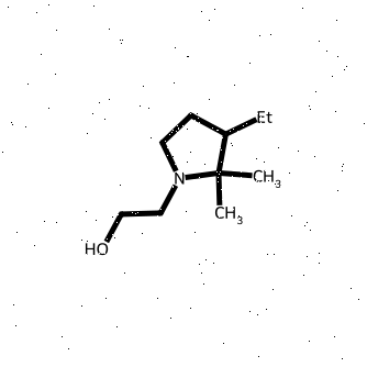 CCC1CCN(CCO)C1(C)C